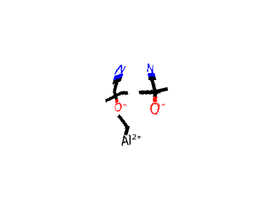 CC(C)([O-])C#N.CC(C)([O-])C#N.C[CH2][Al+2]